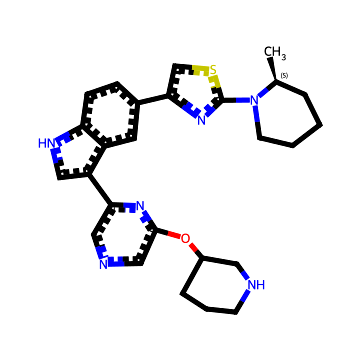 C[C@H]1CCCCN1c1nc(-c2ccc3[nH]cc(-c4cncc(OC5CCCNC5)n4)c3c2)cs1